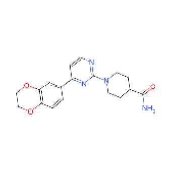 NC(=O)C1CCN(c2nccc(-c3ccc4c(c3)OCCO4)n2)CC1